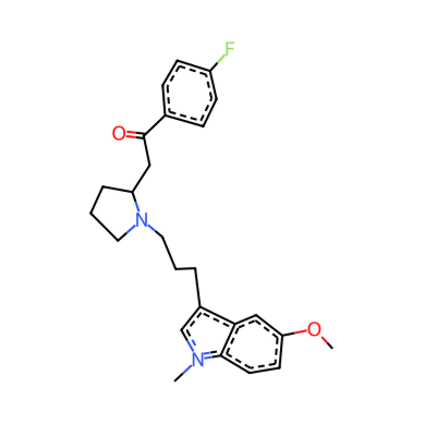 COc1ccc2c(c1)c(CCCN1CCCC1CC(=O)c1ccc(F)cc1)cn2C